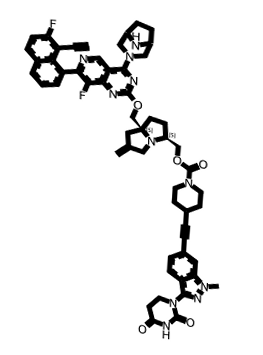 C#Cc1c(F)ccc2cccc(-c3ncc4c(N5CC6CCC(C5)N6)nc(OC[C@@]56CC[C@@H](COC(=O)N7CCC(C#Cc8ccc9c(N%10CCC(=O)NC%10=O)nn(C)c9c8)CC7)N5CC(=C)C6)nc4c3F)c12